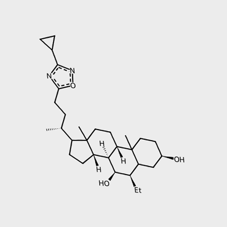 CC[C@@H]1C2C[C@H](O)CCC2(C)[C@H]2CCC3(C)C([C@H](C)CCc4nc(C5CC5)no4)CC[C@H]3[C@@H]2[C@@H]1O